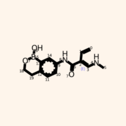 C=C/C(=C\NC)C(=O)Nc1ccc2c(c1)B(O)OCC2